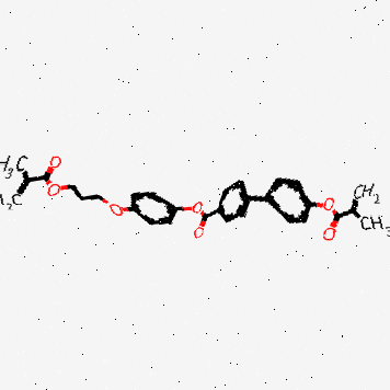 C=C(C)C(=O)OCCCOc1ccc(OC(=O)c2ccc(-c3ccc(OC(=O)C(=C)C)cc3)cc2)cc1